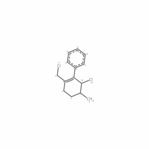 CC1CCC(CCl)=C(c2ccccc2)C1Cl